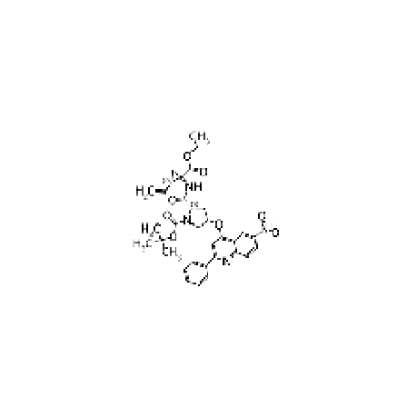 C=C[C@H]1C[C@]1(NC(=O)[C@@H]1CC(Oc2cc(-c3ccccc3)nc3ccc([N+](=O)[O-])cc23)CN1C(=O)OC(C)(C)C)C(=O)OCC